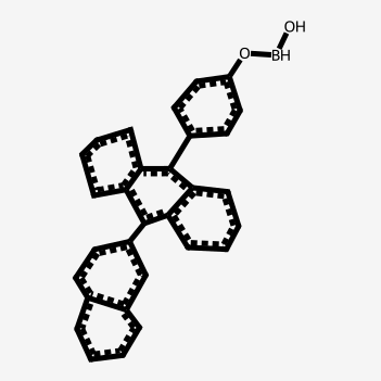 OBOc1ccc(-c2c3ccccc3c(-c3ccc4ccccc4c3)c3ccccc23)cc1